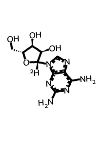 [2H][C@@]1(n2cnc3c(N)nc(N)nc32)O[C@H](CO)[C@@H](O)[C@H]1O